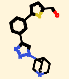 O=Cc1ccc(-c2cccc(-c3cn(C4CN5CCC4CC5)nn3)c2)s1